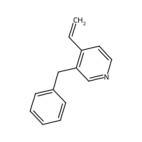 C=Cc1ccncc1Cc1ccccc1